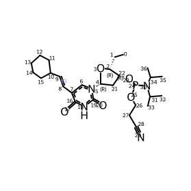 CC[C@H]1O[C@@H](n2cc(/C=C/C3CCCCC3)c(=O)[nH]c2=O)C[C@H]1OP(OCCC#N)N(C(C)C)C(C)C